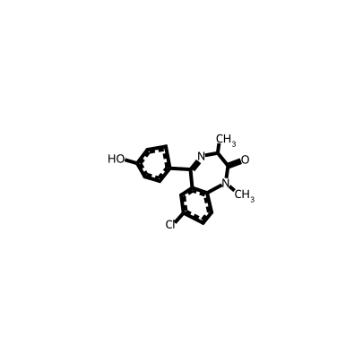 CC1N=C(c2ccc(O)cc2)c2cc(Cl)ccc2N(C)C1=O